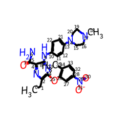 CCc1nc(C(N)=O)c(Nc2ccc(N3CCN(C)CC3)cc2)nc1Oc1cc([N+](=O)[O-])ccc1C